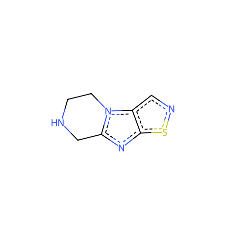 c1nsc2nc3n(c12)CCNC3